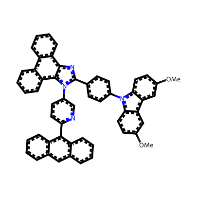 COc1ccc2c(c1)c1cc(OC)ccc1n2-c1ccc(-c2nc3c4ccccc4c4ccccc4c3n2-c2ccc(-c3c4ccccc4cc4ccccc34)nc2)cc1